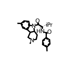 Cc1ccc(C(=O)N[C@H](C(=O)N2c3ccc(C)cc3C3CN(C)CCC32)C(C)C)cc1